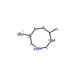 CC1BCNCB(C(C)(C)C)CC1